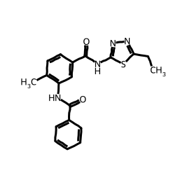 CCc1nnc(NC(=O)c2ccc(C)c(NC(=O)c3ccccc3)c2)s1